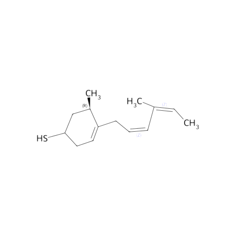 C/C=C(C)\C=C/CC1=CCC(S)C[C@H]1C